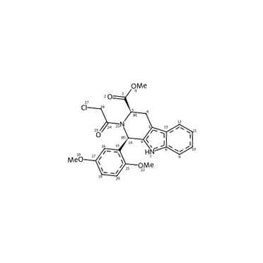 COC(=O)[C@H]1Cc2c([nH]c3ccccc23)[C@@H](c2cc(OC)ccc2OC)N1C(=O)CCl